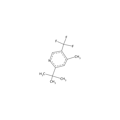 Cc1cc(C(C)(C)C)ncc1C(F)(F)F